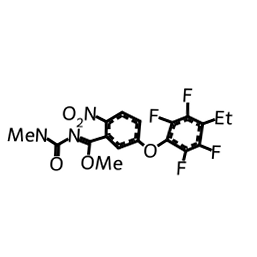 CCc1c(F)c(F)c(Oc2ccc([N+](=O)[O-])c(C(=NC(=O)NC)OC)c2)c(F)c1F